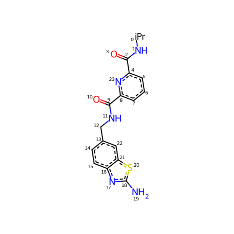 CC(C)NC(=O)c1cccc(C(=O)NCc2ccc3nc(N)sc3c2)n1